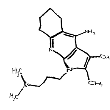 Cc1c(C)n(CCCN(C)C)c2nc3c(c(N)c12)CCCC3